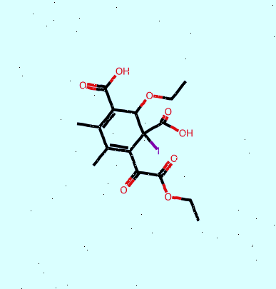 CCOC(=O)C(=O)C1=C(C)C(C)=C(C(=O)O)C(OCC)C1(I)C(=O)O